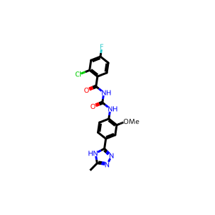 COc1cc(-c2nnc(C)[nH]2)ccc1NC(=O)NC(=O)c1ccc(F)cc1Cl